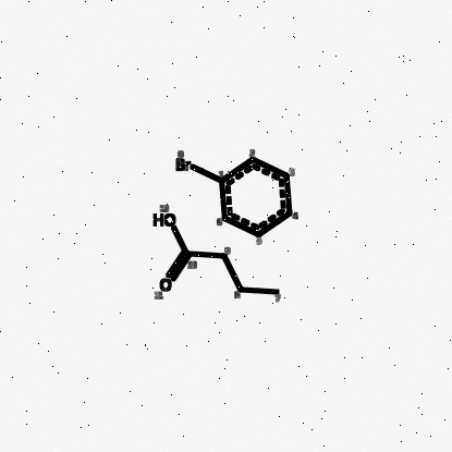 Brc1ccccc1.CCCC(=O)O